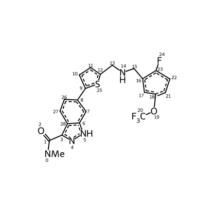 CNC(=O)c1n[nH]c2cc(-c3ccc(CNCc4cc(OC(F)(F)F)ccc4F)s3)ccc12